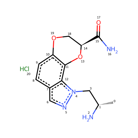 C[C@H](N)Cn1ncc2ccc3c(c21)O[C@H](C(N)=O)CO3.Cl